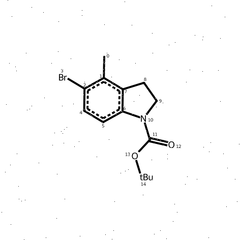 Cc1c(Br)ccc2c1CCN2C(=O)OC(C)(C)C